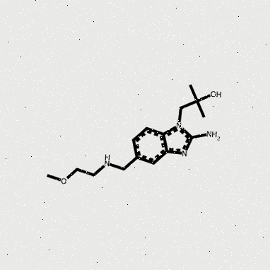 COCCNCc1ccc2c(c1)nc(N)n2CC(C)(C)O